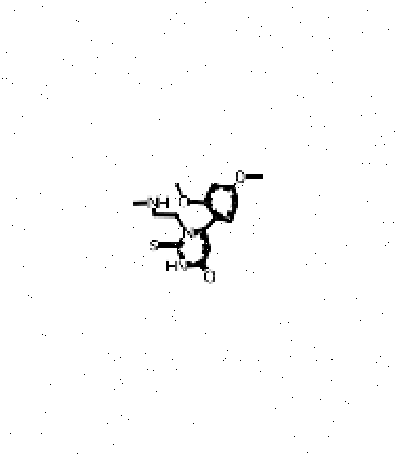 CNCCn1c(-c2ccc(OC)cc2OC)cc(=O)[nH]c1=S